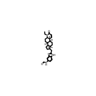 CCN1C(=O)C=C[C@@]2(C)C1CC[C@@H]1[C@H]2CC[C@]2(C)C(Cc3nc4cc(NC=O)ccc4[nH]3)CC[C@@H]12